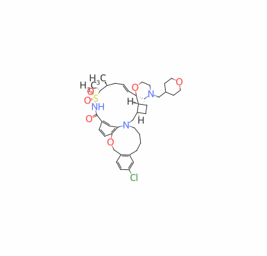 C[C@@H]1[C@@H](C)C/C=C/[C@]2(CN(CC3CCOCC3)CCO2)[C@@H]2CC[C@H]2CN2CCCCc3cc(Cl)ccc3COc3ccc(cc32)C(=O)NS1(=O)=O